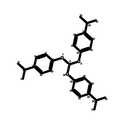 CC(C)c1ccc(OB(Oc2ccc(C(C)C)cc2)Oc2ccc(C(C)C)cc2)cc1